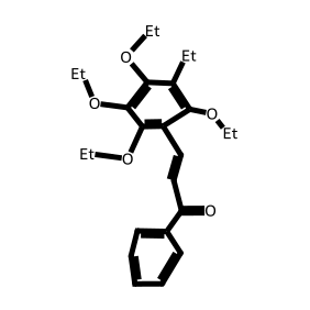 CCOc1c(C=CC(=O)c2ccccc2)c(OCC)c(OCC)c(OCC)c1CC